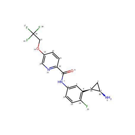 N[C@@H]1C[C@@H]1c1cc(NC(=O)c2ccc(OCC(F)(F)F)cn2)ccc1F